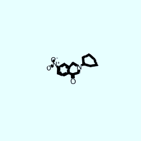 O=C1CN(C2CCCCC2)Cc2cc([N+](=O)[O-])ccc21